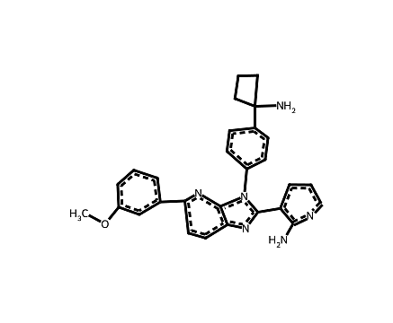 COc1cccc(-c2ccc3nc(-c4cccnc4N)n(-c4ccc(C5(N)CCC5)cc4)c3n2)c1